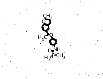 CC1CCc2cc(C(C)Oc3ccc(NC(=O)N(C)C)cc3)ccc2O1